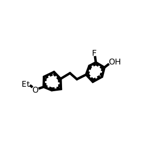 CCOc1ccc(CCc2ccc(O)c(F)c2)cc1